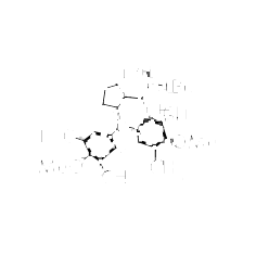 COc1c(C)cc(P(c2cc(C)c(OC)c(C)c2)[C@H]2CCC[C@H]2[C@@H](C)P(C(C)(C)C)C(C)(C)C)cc1C